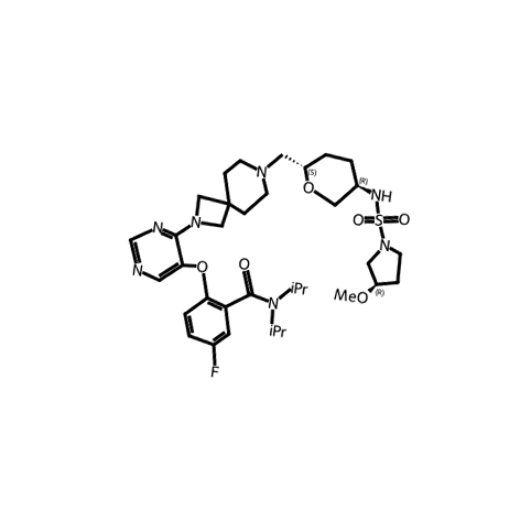 CO[C@@H]1CCN(S(=O)(=O)N[C@@H]2CC[C@@H](CN3CCC4(CC3)CN(c3ncncc3Oc3ccc(F)cc3C(=O)N(C(C)C)C(C)C)C4)OC2)C1